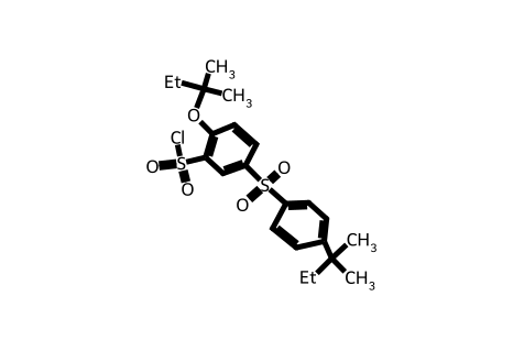 CCC(C)(C)Oc1ccc(S(=O)(=O)c2ccc(C(C)(C)CC)cc2)cc1S(=O)(=O)Cl